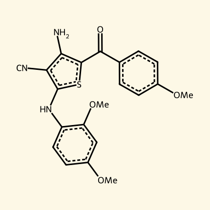 [C-]#[N+]c1c(Nc2ccc(OC)cc2OC)sc(C(=O)c2ccc(OC)cc2)c1N